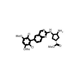 COC(=O)[C@H]1CC(N)C(Nc2ncc3cc(-c4c(Cl)c(OC)cc(OC)c4Cl)ccc3n2)C1